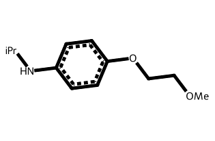 COCCOc1ccc(NC(C)C)cc1